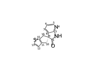 O=C1Nc2ncccc2[C@@]12Cc1ccsc1C2